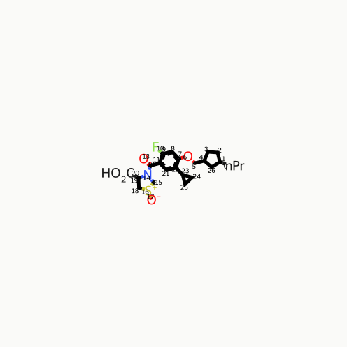 CCCC1CCC(COc2cc(F)c(C(=O)N3C[S+]([O-])CC3C(=O)O)cc2C2CC2)C1